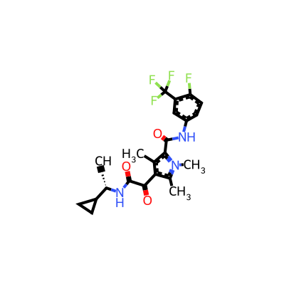 C#C[C@H](NC(=O)C(=O)c1c(C)c(C(=O)Nc2ccc(F)c(C(F)(F)F)c2)n(C)c1C)C1CC1